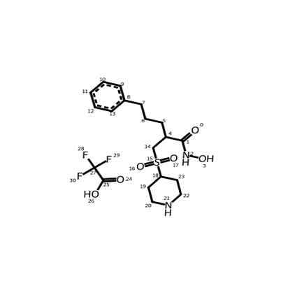 O=C(NO)C(CCCc1ccccc1)CS(=O)(=O)C1CCNCC1.O=C(O)C(F)(F)F